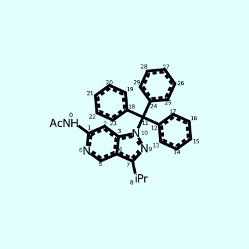 CC(=O)Nc1cc2c(cn1)c(C(C)C)nn2C(c1ccccc1)(c1ccccc1)c1ccccc1